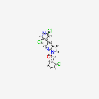 O=C(Cc1ccccc1Cl)N1CCc2cc(-c3cc(Cl)ncc3Cl)cnc21